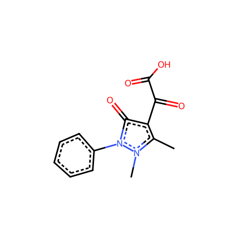 Cc1c(C(=O)C(=O)O)c(=O)n(-c2ccccc2)n1C